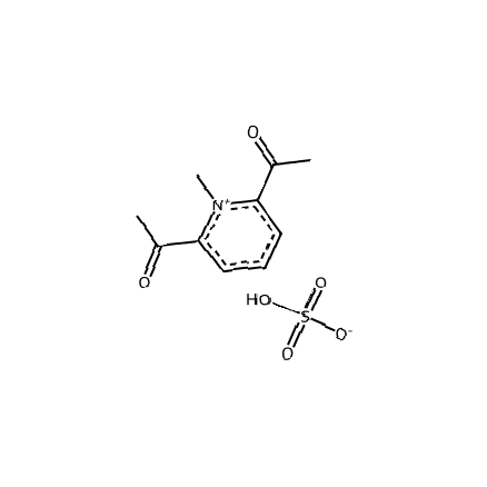 CC(=O)c1cccc(C(C)=O)[n+]1C.O=S(=O)([O-])O